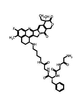 CC[C@@]1(O)C(=O)OCc2c1cc1n(c2=O)Cc2c-1nc1cc(F)c(C)c3c1c2[C@@H](NCCCCNC(=O)CNC(=O)[C@H](Cc1ccccc1)NC(=O)CNC(=O)CN)CC3